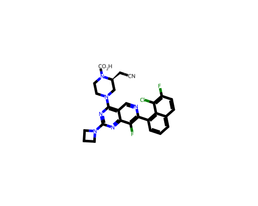 N#CC[C@H]1CN(c2nc(N3CCC3)nc3c(F)c(-c4cccc5ccc(F)c(Cl)c45)ncc23)CCN1C(=O)O